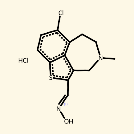 CN1CCc2c(Cl)ccc3sc(/C=N/O)c(c23)C1.Cl